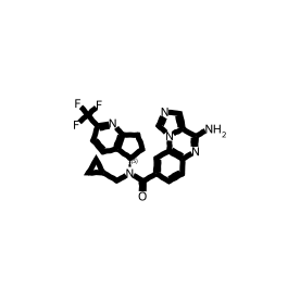 Nc1nc2ccc(C(=O)N(CC3CC3)[C@H]3CCc4nc(C(F)(F)F)ccc43)cc2n2cncc12